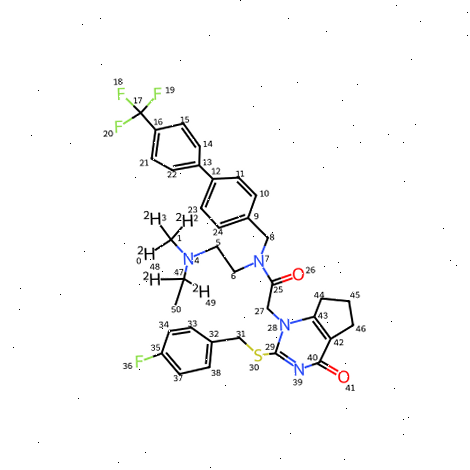 [2H]C([2H])([2H])N(CCN(Cc1ccc(-c2ccc(C(F)(F)F)cc2)cc1)C(=O)Cn1c(SCc2ccc(F)cc2)nc(=O)c2c1CCC2)C([2H])([2H])C